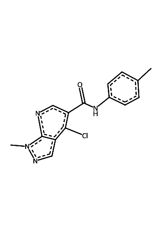 Cc1ccc(NC(=O)c2cnc3c(cnn3C)c2Cl)cc1